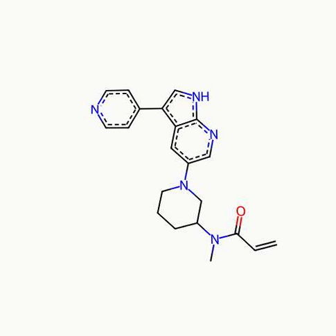 C=CC(=O)N(C)C1CCCN(c2cnc3[nH]cc(-c4ccncc4)c3c2)C1